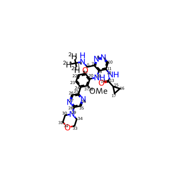 [2H]C([2H])([2H])NC(=O)c1nncc(NC(=O)C2CC2)c1Nc1cccc(-c2cnc(N3CCOCC3)cn2)c1OC